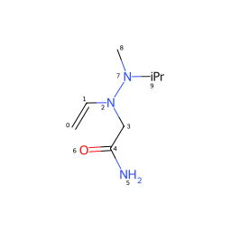 C=CN(CC(N)=O)N(C)C(C)C